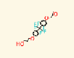 OCCCOc1ccc(C(c2ccc(OCC3CO3)cc2)(C(F)(F)F)C(F)(F)F)cc1